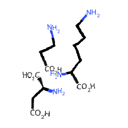 NCCC(=O)O.NCCCCC(N)C(=O)O.N[C@@H](CC(=O)O)C(=O)O